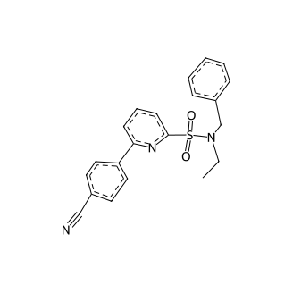 CCN(Cc1ccccc1)S(=O)(=O)c1cccc(-c2ccc(C#N)cc2)n1